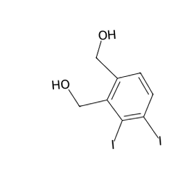 OCc1ccc(I)c(I)c1CO